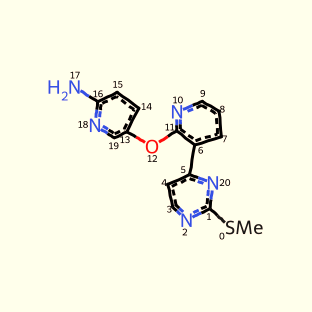 CSc1nccc(-c2cccnc2Oc2ccc(N)nc2)n1